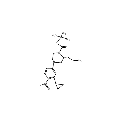 COC[C@@H]1CN(c2ccc([N+](=O)[O-])c(C3CC3)c2)CCN1C(=O)OC(C)(C)C